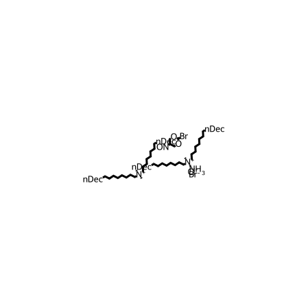 CCCCCCCCCCCCCCCCCC[N+](C)(C)CCCCCCCCCCCCCCCCCC.CCCCCCCCCCCCCCCCCC[N+](C)(C)CCCCCCCCCCCCCCCCCC.N.O=NC1COC(Br)OC1.[Br-].[Cl-]